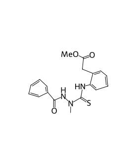 COC(=O)Cc1ccccc1NC(=S)N(C)NC(=O)c1ccccc1